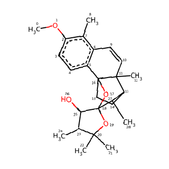 COc1ccc2c(c1C)C=CC1(C)C3CCC21OC1(OC(C)(C)C(C)C1O)C3C